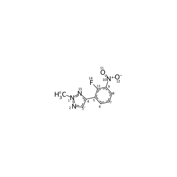 Cn1n[c]c(-c2cccc([N+](=O)[O-])c2F)n1